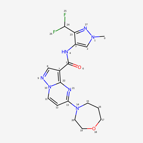 Cn1cc(NC(=O)c2cnn3ccc(N4CCCOCC4)nc23)c(C(F)F)n1